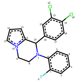 Fc1[c]cccc1N1CCn2cccc2C1c1ccc(Cl)c(Cl)c1